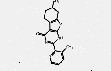 Cc1cccnc1-c1nc(=O)c2c3c(sc2[nH]1)CC(C)CC3